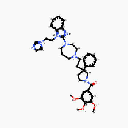 COc1cc(C(=O)N2CCC(CCN3CCCN(c4nc5ccccc5n4CCn4ccnc4)CC3)(c3ccccc3)C2)cc(OC)c1OC